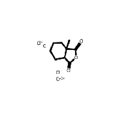 CC12CCCCC1C(=O)OC2=O.[Cl-].[Cl-].[Cl-].[Cr+3]